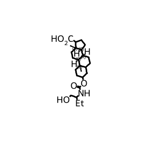 CCC(CO)NC(=O)OC1CC[C@@]2(C)C(CC[C@@H]3[C@@H]2CC[C@]2(C)C(C(=O)O)CC[C@@H]32)C1